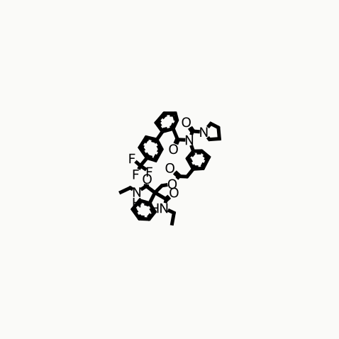 CCNC(=O)C(COC(=O)Cc1cccc(N(C(=O)c2ccccc2-c2ccc(C(F)(F)F)cc2)C(=O)N2CCCC2)c1)(C(=O)NCC)c1ccccc1